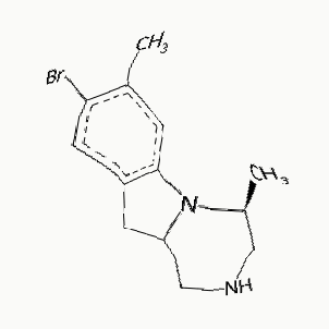 Cc1cc2c(cc1Br)CC1CNC[C@H](C)N21